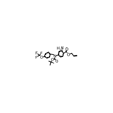 C=CCOC(=O)c1ccc(N(Cc2ccc(OC(F)(F)F)cc2)C(=O)OC(C)(C)C)cc1N